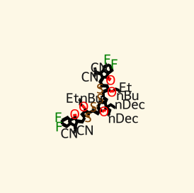 [C-]#[N+]/C(C#N)=C1\C(=C\c2cc(OCC(CC)CCCC)c(-c3cc4c(s3)-c3sc(-c5sc(/C=C6\C(=O)c7cc(F)c(F)cc7\C6=C(\C#N)[N+]#[C-])cc5OCC(CC)CCCC)cc3OC4(CCCCCCCCCCCC)CCCCCCCCCCCC)s2)C(=O)c2cc(F)c(F)cc21